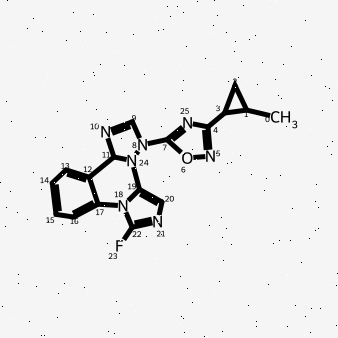 CC1CC1c1noc(N2C=NC3c4ccccc4-n4c(cnc4F)N32)n1